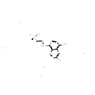 CC(C)c1cnc(NCCS(C)(=O)=O)c2cnc(Cl)cc12